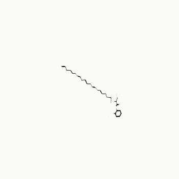 CCC=CCC=CCC=CCC=CCC=CCC=CCCC(=O)NC(CC(C)C)C(=O)Oc1ccccc1C(=O)O